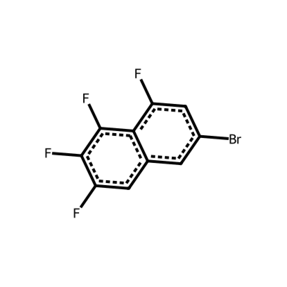 Fc1cc2cc(Br)cc(F)c2c(F)c1F